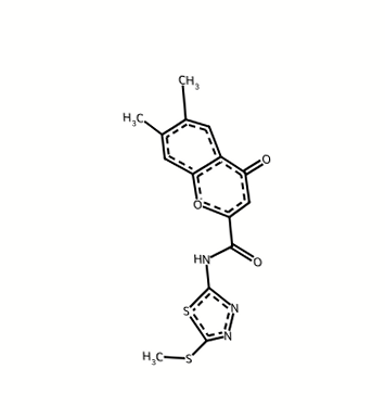 CSc1nnc(NC(=O)c2cc(=O)c3cc(C)c(C)cc3o2)s1